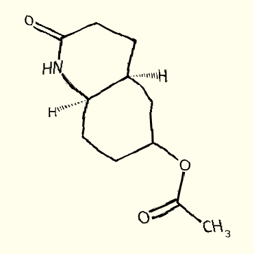 CC(=O)OC1CC[C@H]2NC(=O)CC[C@H]2C1